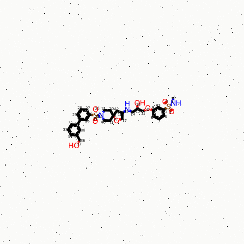 CNS(=O)(=O)c1cccc(OCC(O)CNC2COC3(CCN(S(=O)(=O)c4cccc(-c5cccc(CO)c5)c4)CC3)C2)c1